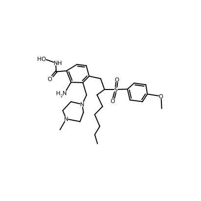 CCCCCCC(Cc1ccc(C(=O)NO)c(N)c1CN1CCN(C)CC1)S(=O)(=O)c1ccc(OC)cc1